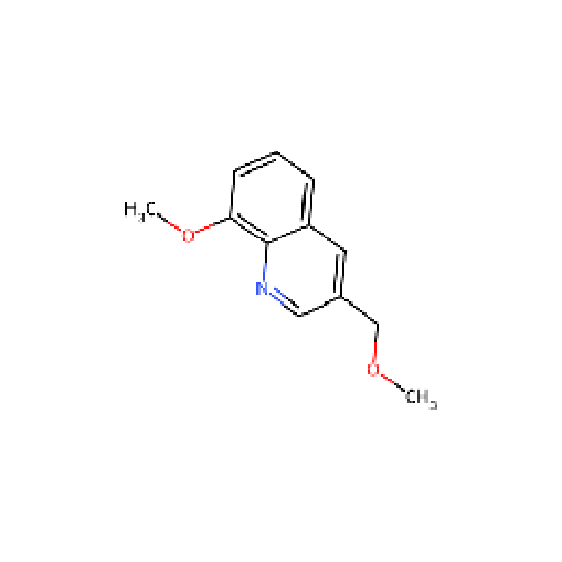 COCc1cnc2c(OC)cccc2c1